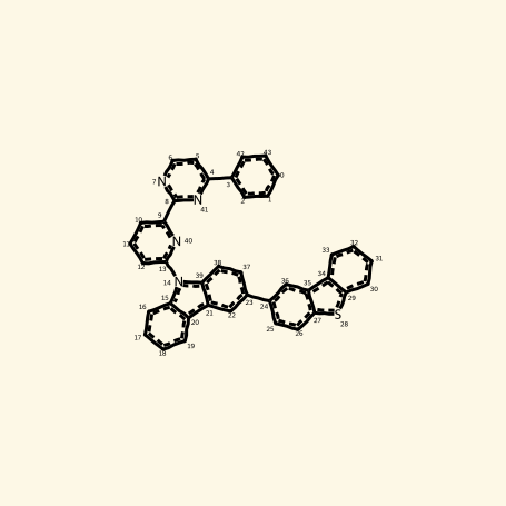 c1ccc(-c2ccnc(-c3cccc(-n4c5ccccc5c5cc(-c6ccc7sc8ccccc8c7c6)ccc54)n3)n2)cc1